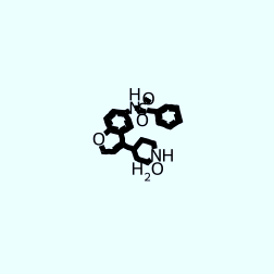 O.O=S(=O)(Nc1ccc2c(c1)C(C1CCNCC1)=CCO2)c1ccccc1